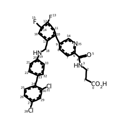 O=C(O)CCNC(=O)c1ccc(-c2cc(F)c(F)cc2CNc2ccc(-c3ccc(Cl)cc3Cl)cc2)cn1